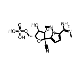 C=Nn1c(/C(N)=N\C)ccc1[C@]1(C#N)O[C@H](COP(=O)(O)O)[C@@H](O)[C@H]1O